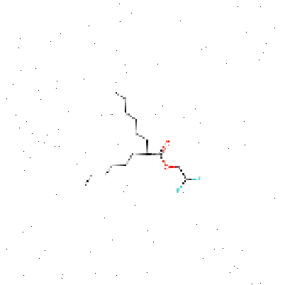 CCCCCCC(C)(CCCCCC)C(=O)OCC(F)F